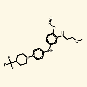 COCCNc1cc(Nc2ccc(N3CCC(C(F)(F)F)CC3)cc2)ccc1ON=O